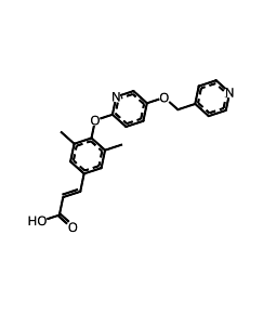 Cc1cc(/C=C/C(=O)O)cc(C)c1Oc1ccc(OCc2ccncc2)cn1